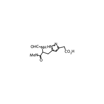 CNC(=O)C(Cc1cc(CC(=O)O)n[nH]1)NC=O